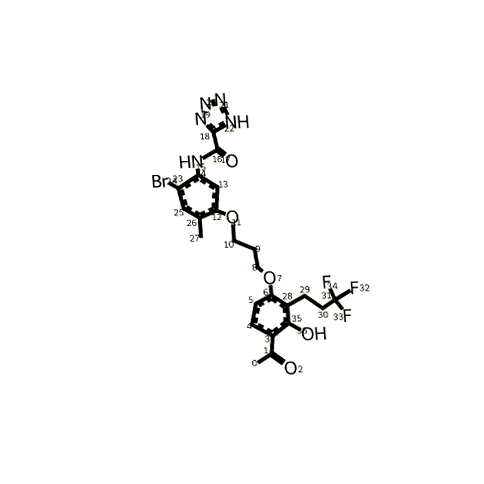 CC(=O)c1ccc(OCCCOc2cc(NC(=O)c3nnn[nH]3)c(Br)cc2C)c(CCC(F)(F)F)c1O